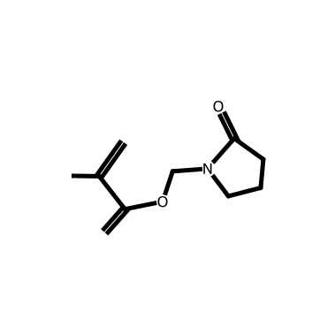 C=C(C)C(=C)OCN1CCCC1=O